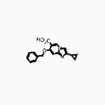 O=C(O)c1cn2cc(C3CC3)nc2cc1OCc1ccccc1